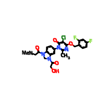 CNCC(=O)N1CN(C(=O)CO)c2cc(-n3c(C)nc(OCc4ccc(F)cc4F)c(Cl)c3=O)ccc21